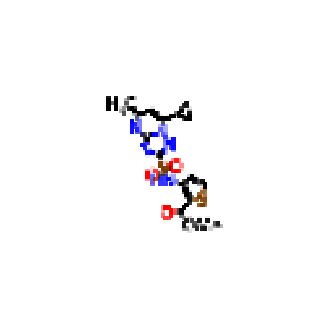 COC(=O)c1sccc1NS(=O)(=O)c1nc2nc(C)cc(C3CC3)n2n1